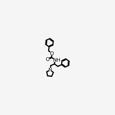 O=C(NC(Cc1ccccc1)CN1CCCC1)OCc1ccccc1